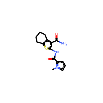 Cn1cccc1C(=O)Nc1sc2c(c1C(N)=O)CCCC2